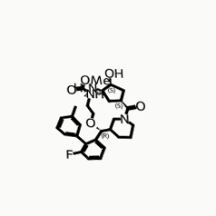 COC(=O)NCCO[C@@H](c1cccc(F)c1-c1cccc(C)c1)C1CCCN(C(=O)[C@H]2C[C@@H](N)[C@@H](O)C2)C1